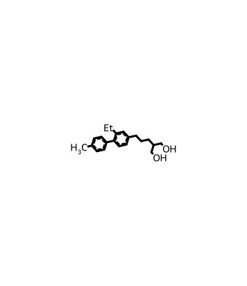 CCc1cc(CCCC(CO)CO)ccc1-c1ccc(C)cc1